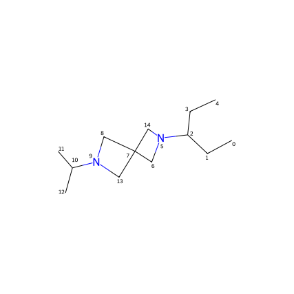 CCC(CC)N1CC2(CN(C(C)C)C2)C1